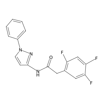 O=C(Cc1cc(F)c(F)cc1F)Nc1ccn(-c2ccccc2)n1